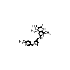 Cc1ccc(Cn2cc(CNc3nc(C)c4c(n3)N(C)[C@@H](C)C(=O)N4)cn2)cn1